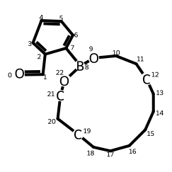 O=Cc1ccccc1B1OCCCCCCCCCCCCO1